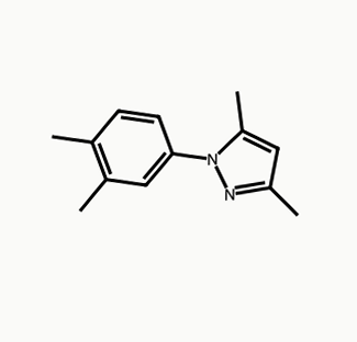 Cc1cc(C)n(-c2ccc(C)c(C)c2)n1